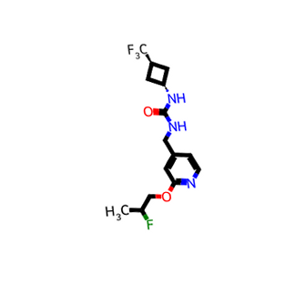 CC(F)COc1cc(CNC(=O)N[C@H]2C[C@H](C(F)(F)F)C2)ccn1